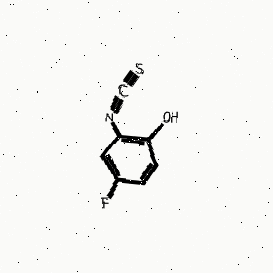 Oc1ccc(F)cc1N=C=S